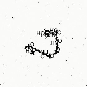 CCC(C)(C)C(=O)[C@H](CCCCNC(=O)CCC(C)(C)OCCC(C)(C)OCCNC(=O)CC[C@H](NC(=O)C(N)CC(C)C(=O)O)C(=O)O)NC(C)(C)C